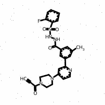 C#CC(=O)N1CCN(c2ccnc(-c3cc(C)cc(C(=O)NNS(=O)(=O)c4ccccc4F)c3)c2)CC1